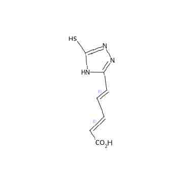 O=C(O)/C=C/C=C/c1nnc(S)[nH]1